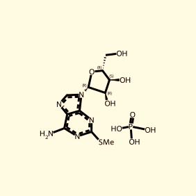 CSc1nc(N)c2ncn([C@@H]3O[C@H](CO)[C@@H](O)[C@H]3O)c2n1.O=P(O)(O)O